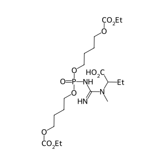 CCOC(=O)OCCCCOP(=O)(NC(=N)N(C)C(CC)C(=O)O)OCCCCOC(=O)OCC